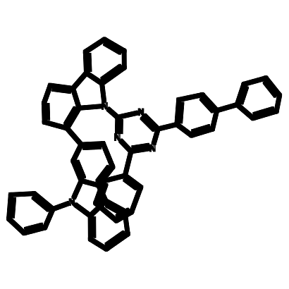 c1ccc(-c2ccc(-c3nc(-c4ccccc4)nc(-n4c5ccccc5c5cccc(-c6ccc7c8ccccc8n(-c8ccccc8)c7c6)c54)n3)cc2)cc1